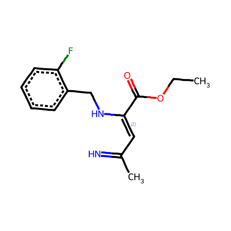 CCOC(=O)/C(=C/C(C)=N)NCc1ccccc1F